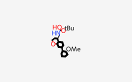 COc1ccccc1-c1ccc2c(c1)OCC[C@H]2CNC(O)OC(C)(C)C